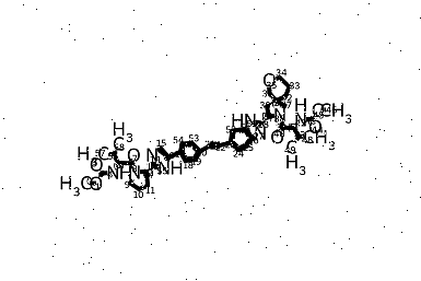 COC(=O)N[C@H](C(=O)N1CCC[C@H]1c1ncc(-c2ccc(C#Cc3ccc4nc([C@@H]5C[C@@]6(CCCOC6)CN5C(=O)[C@@H](NC(=O)OC)C(C)C)[nH]c4c3)cc2)[nH]1)C(C)C